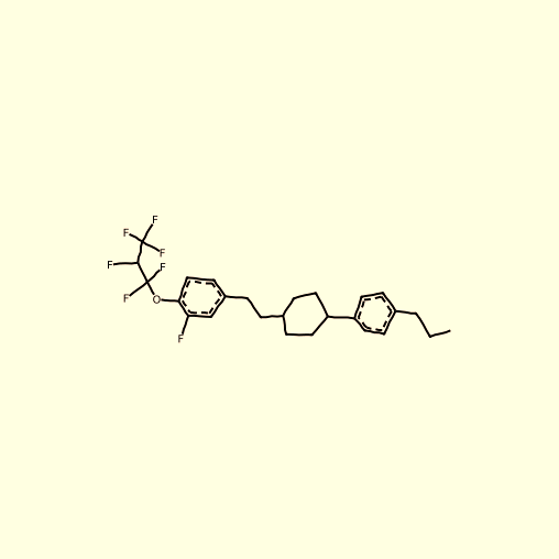 CCCc1ccc(C2CCC(CCc3ccc(OC(F)(F)C(F)C(F)(F)F)c(F)c3)CC2)cc1